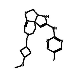 COC1CC(N2CC=C3SCN4NC(Nc5ncc(F)cn5)=CC34CC2)C1